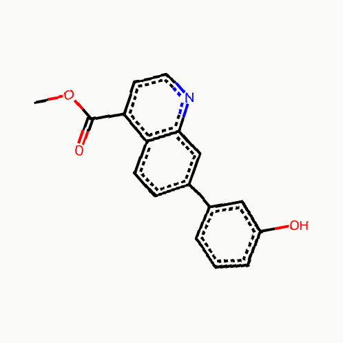 COC(=O)c1ccnc2cc(-c3cccc(O)c3)ccc12